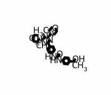 CC(O)c1ccc(NC(=O)Nc2ccc(-c3nc(N4CCOC[C@H]4C)nc(N4CCOC[C@H]4C)n3)cc2)cc1